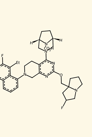 CCc1c(F)ccc2cccc(N3CCc4c(nc(OCC56CCCN5CC(F)C6)nc4N4C[C@H]5CC[C@@H](C4)N5C(=O)O)C3)c12